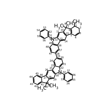 CC1CC=CC2=C1C(C)(C)c1cc3c(cc12)c1cc(-c2ccc4c(c2)c2cc5c(cc2n4-c2ccccc2)C(C)(C)c2ccccc2-5)ccc1n3-c1ccccc1